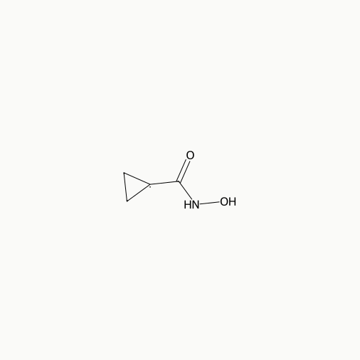 O=C(NO)[C]1CC1